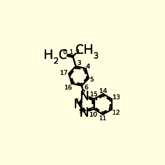 C=C(C)c1ccc(-n2nnc3ccccc32)cc1